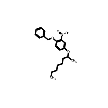 CCCCCCC(C)Oc1ccc(OCc2ccccc2)c([N+](=O)[O-])c1